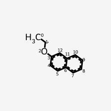 C[CH]Oc1ccc2ccccc2c1